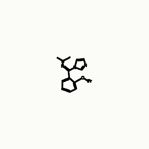 CC(C)Oc1ccccc1C(=NN(C)C)n1ccnc1